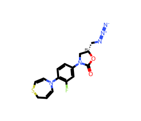 [N-]=[N+]=NC[C@H]1CN(c2ccc(N3C=CCSC=C3)c(F)c2)C(=O)O1